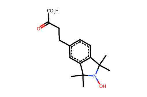 CC1(C)c2ccc(CCC(=O)C(=O)O)cc2C(C)(C)N1O